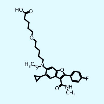 CNC(=O)c1c(-c2ccc(F)cc2)oc2cc(N(CCCCCOCCCCC(=O)O)SC)c(C3CC3)cc12